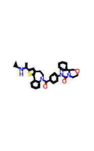 C=C(NC1CC1)c1cc2c(s1)-c1ccccc1N(C(=O)c1ccc(NC(=O)N3CCOCC3c3ccccc3)cc1)CC2